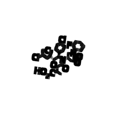 C[C@@H](C(=O)O)[C@H]1O[C@H](c2cccc(Cl)c2)[C@@H](c2ccc(Cl)cc2)N([C@@H]2CN(c3ccccc3F)S(=O)(=O)C2)C1=O